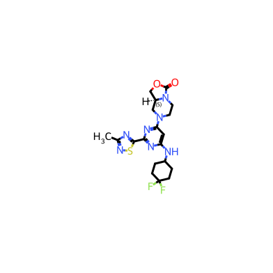 Cc1nsc(-c2nc(NC3CCC(F)(F)CC3)cc(N3CCN4C(=O)OC[C@@H]4C3)n2)n1